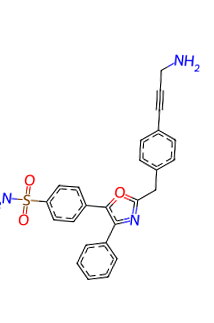 NCC#Cc1ccc(Cc2nc(-c3ccccc3)c(-c3ccc(S(N)(=O)=O)cc3)o2)cc1